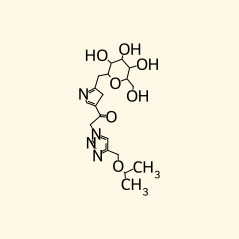 CC(C)OCc1cn(CC(=O)C2=CN=C(CC3OC(CO)C(O)C(O)C3O)C2)nn1